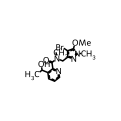 COc1c(Br)c(CN(C)C(=O)c2ncccc2C(C)O)nn1C